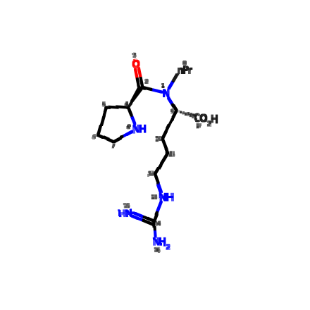 CCCN(C(=O)[C@@H]1CCCN1)[C@@H](CCCNC(=N)N)C(=O)O